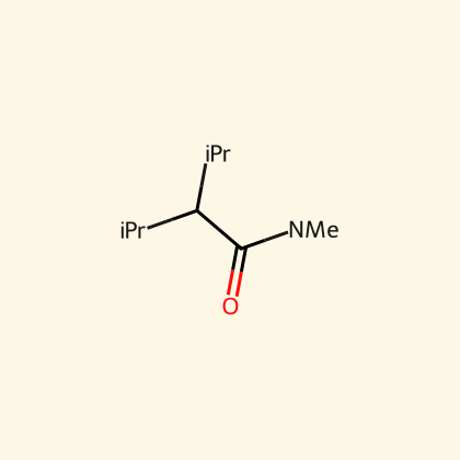 CNC(=O)C(C(C)C)C(C)C